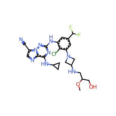 COC(CO)CNC1CN(c2cc(C(F)F)cc(Nc3nc(NC4CC4)c4ncc(C#N)n4n3)c2Cl)C1